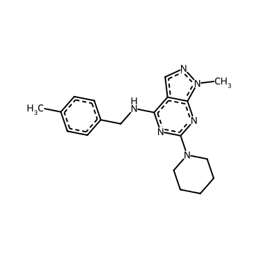 Cc1ccc(CNc2nc(N3CCCCC3)nc3c2cnn3C)cc1